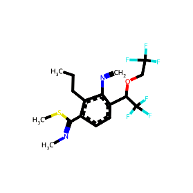 C=Nc1c(C(OCC(F)(F)F)C(F)(F)F)ccc(/C(=N/C)SC)c1CCC